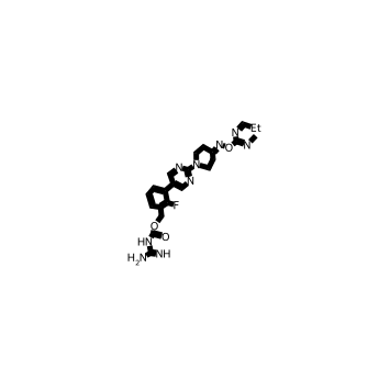 CC/C=N\C(=N/C)ON=C1CCN(c2ncc(-c3cccc(COC(=O)NC(=N)N)c3F)cn2)CC1